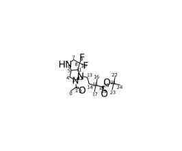 CC(=O)N1CC2NCC(F)(F)C2N1CCC(C)(C)C(=O)OC(C)(C)C